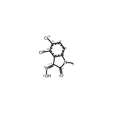 CN1C(=O)/C(=N\O)c2c1ccc(Cl)c2Cl